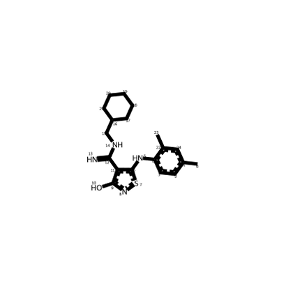 Cc1ccc(Nc2snc(O)c2C(=N)NCC2CCCCC2)c(C)c1